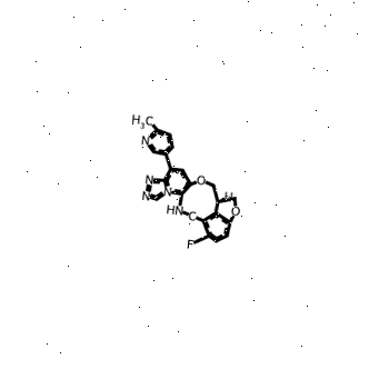 Cc1ccc(-c2cc3c(n4cnnc24)NCc2c(F)ccc4c2[C@@H](CO4)CO3)cn1